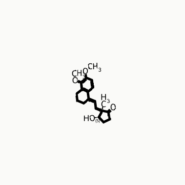 COc1ccc2c(c1OC)CCCC2=CC[C@@]1(C)C(=O)CC[C@@H]1O